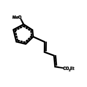 CCOC(=O)C=CC=Cc1cccc(OC)c1